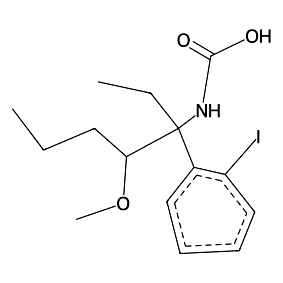 CCCC(OC)C(CC)(NC(=O)O)c1ccccc1I